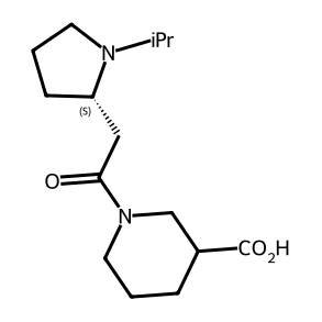 CC(C)N1CCC[C@H]1CC(=O)N1CCCC(C(=O)O)C1